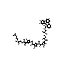 CN(C)CCCN(C)C(=O)CCNC(=O)c1cc(N(I)C(=O)c2cc(NC(=O)c3nc(NC(=O)CCNC(=O)CCCC[PH](c4ccccc4)(c4ccccc4)c4ccccc4)cn3C)cn2C)cn1C